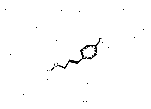 [CH2]OCC=Cc1ccc(F)cc1